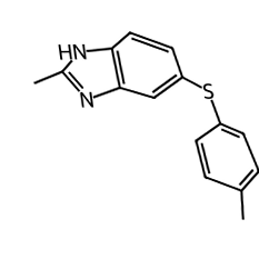 Cc1ccc(Sc2ccc3[nH]c(C)nc3c2)cc1